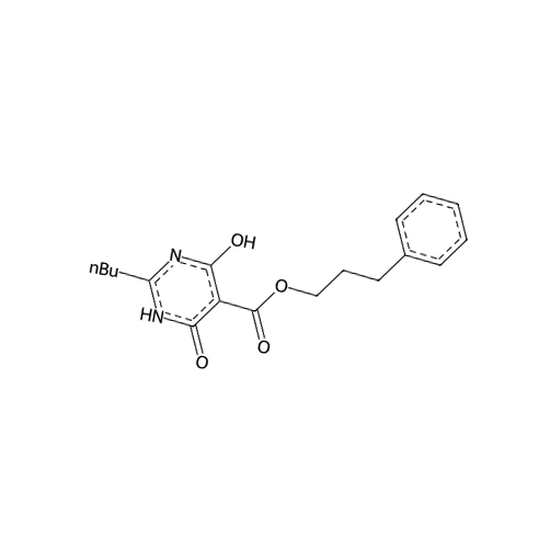 CCCCc1nc(O)c(C(=O)OCCCc2ccccc2)c(=O)[nH]1